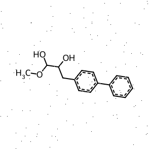 COC(O)C(O)Cc1ccc(-c2ccccc2)cc1